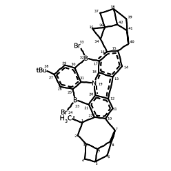 CC1CC2CC3CC(CC23)c2cc3c4cc5c(c6c4n4c3c(c21)B(Br)c1cc(C(C)(C)C)cc(c1-4)B6Br)C1CC12CC1CC5CC12